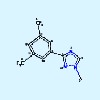 Cn1cnc(-c2cc(C(F)(F)F)cc(C(F)(F)F)c2)n1